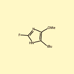 COc1nc(F)[nH]c1C(C)(C)C